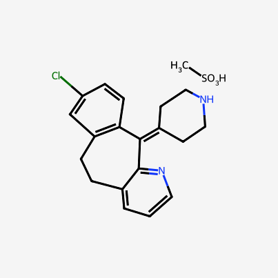 CS(=O)(=O)O.Clc1ccc2c(c1)CCc1cccnc1C2=C1CCNCC1